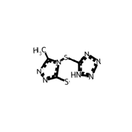 Cc1nnc([S])n1Sc1nnn[nH]1